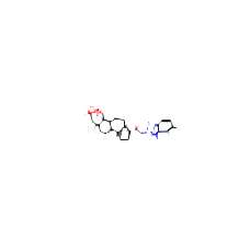 COC[C@]12CC[C@@](C)(O)C[C@@H]1CC[C@H]1[C@@H]3CC[C@H](C(=O)Cn4nc5ccc(C)c(F)c5n4)[C@@]3(C)CC[C@@H]12